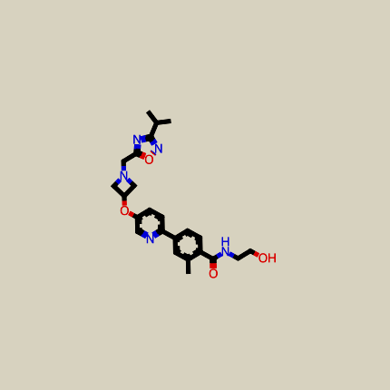 Cc1cc(-c2ccc(OC3CN(Cc4nc(C(C)C)no4)C3)cn2)ccc1C(=O)NCCO